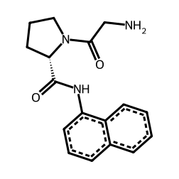 NCC(=O)N1CCC[C@H]1C(=O)Nc1cccc2ccccc12